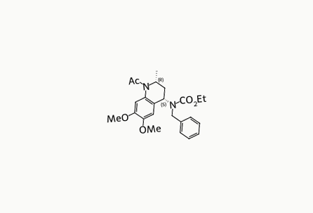 CCOC(=O)N(Cc1ccccc1)[C@H]1C[C@@H](C)N(C(C)=O)c2cc(OC)c(OC)cc21